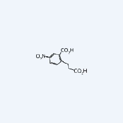 O=C(O)CCc1ccc([N+](=O)[O-])cc1C(=O)O